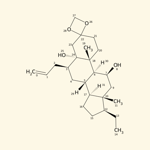 C=CC[C@@H]1C[C@@H]2[C@H]([C@@H](O)C[C@]3(C)[C@@H](CC)CC[C@@H]23)[C@@]2(C)CCC3(C[C@]12O)OCO3